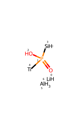 O=[P](O)([SiH])[Ti].[AlH3].[LiH]